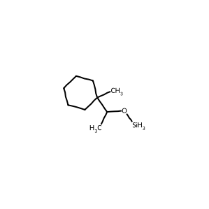 CC(O[SiH3])C1(C)CCCCC1